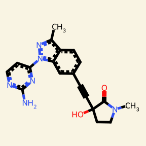 Cc1nn(-c2ccnc(N)n2)c2cc(C#CC3(O)CCN(C)C3=O)ccc12